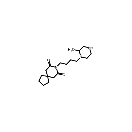 CC1CNCCN1CCCCN1C(=O)CC2(CCCC2)CC1=O